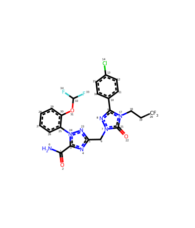 NC(=O)c1nc(Cn2nc(-c3ccc(Cl)cc3)n(CCC(F)(F)F)c2=O)nn1-c1ccccc1OC(F)F